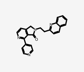 O=C1c2c(ccnc2-c2ccncc2)CN1CCc1ccc2ccccc2n1